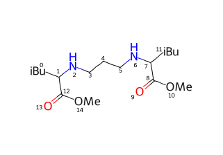 CCC(C)C(NCCCNC(C(=O)OC)C(C)CC)C(=O)OC